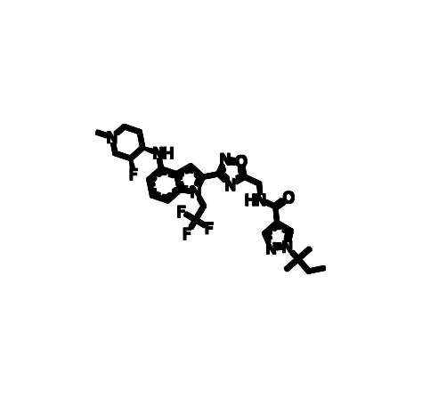 CCC(C)(C)n1cc(C(=O)NCc2nc(-c3cc4c(N[C@@H]5CCN(C)C[C@@H]5F)cccc4n3CC(F)(F)F)no2)cn1